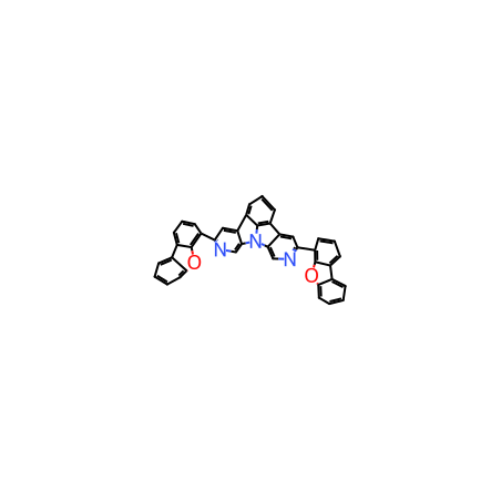 c1ccc2c(c1)oc1c(-c3cc4c5cccc6c7cc(-c8cccc9c8oc8ccccc89)ncc7n(c4cn3)c56)cccc12